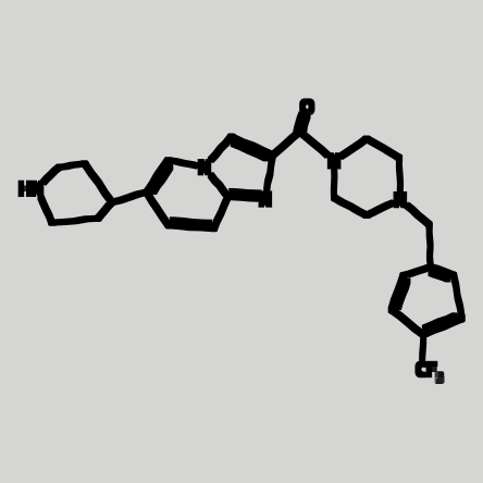 O=C(c1cn2cc(C3CCNCC3)ccc2n1)N1CCN(Cc2ccc(C(F)(F)F)cc2)CC1